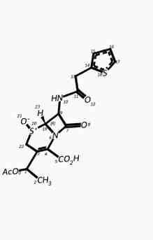 CC(=O)OC(C)C1=C(C(=O)O)N2C(=O)C(NC(=O)Cc3cccs3)[C@H]2[S+]([O-])C1